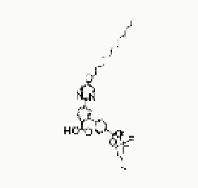 CCCCCCCCCCCCOc1cnc(-c2ccc(C(=O)O)c(-c3ccc(C(=O)OC(CCCC)C(F)(F)F)cc3)c2)nc1